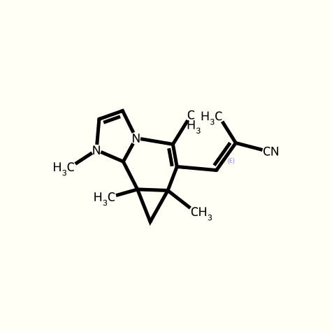 CC1=C(/C=C(\C)C#N)C2(C)CC2(C)C2N(C)C=CN12